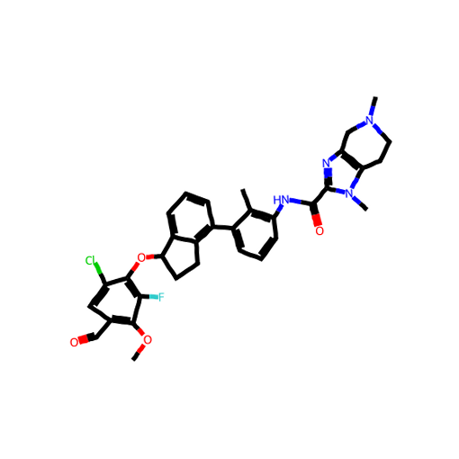 COc1c(C=O)cc(Cl)c(OC2CCc3c(-c4cccc(NC(=O)c5nc6c(n5C)CCN(C)C6)c4C)cccc32)c1F